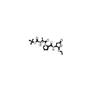 CCOC1OC(=O)CC1NC(=O)C1CCCN1C(=O)[C@H](C)NC(=O)OC(C)(C)C